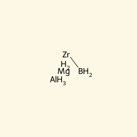 [AlH3].[BH2][Zr].[MgH2]